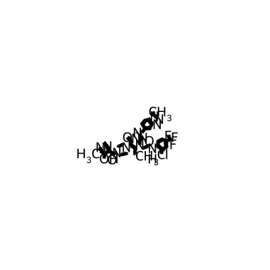 CCc1c(N2CCN(C(=O)c3ncnc(C)c3O)CC2)c(=O)n2nc(-c3ccc4c(c3)nnn4C)nc2n1CC(=O)Nc1ccc(C(F)(F)F)cc1Cl